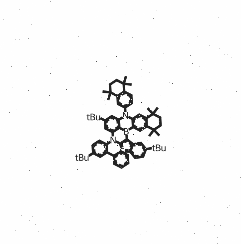 CC(C)(C)c1ccc(N2c3cc(C(C)(C)C)cc4c3B(c3cc5c(cc3N4c3ccc4c(c3)C(C)(C)CCC4(C)C)C(C)(C)CCC5(C)C)c3c2sc2ccc(C(C)(C)C)cc32)c(-c2ccccc2)c1